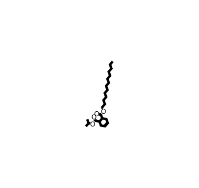 CCCCCCCCCCCCCCOC(=O)C1CC=CCC1C(=O)OC(C)C